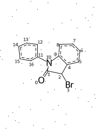 O=C1C(Br)c2ccccc2N1c1ccccc1